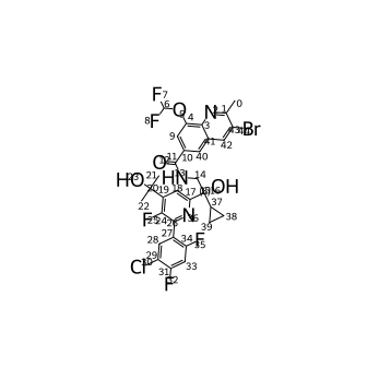 Cc1nc2c(OC(F)F)cc(C(=O)NC[C@](O)(c3cc(C(C)(C)O)c(F)c(-c4cc(Cl)c(F)cc4F)n3)C3CC3)cc2cc1Br